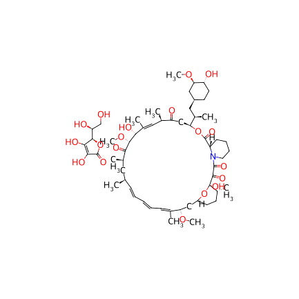 CO[C@H]1C[C@@H]2CC[C@@H](C)[C@@](O)(O2)C(=O)C(=O)N2CCCC[C@H]2C(=O)O[C@H]([C@H](C)C[C@@H]2CC[C@@H](O)[C@H](OC)C2)CC(=O)[C@H](C)/C=C(\C)[C@@H](O)[C@@H](OC)C(=O)[C@H](C)C[C@H](C)/C=C/C=C/C=C/1C.O=C1O[C@H]([C@@H](O)CO)C(O)=C1O